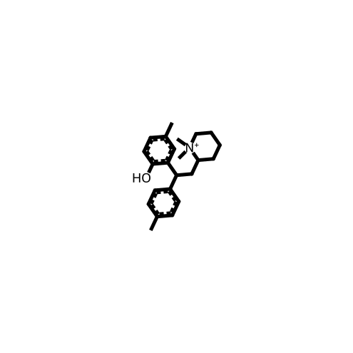 Cc1ccc(C(CC2CCCC[N+]2(C)C)c2cc(C)ccc2O)cc1